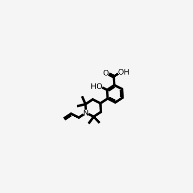 C=CCN1C(C)(C)CC(c2cccc(C(=O)O)c2O)CC1(C)C